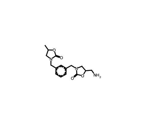 CC1CN(Cc2cccc(CN3CC(CN)OC3=O)c2)C(=O)O1